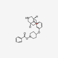 O=C(ON1CCC(Oc2cccc(N3[C@@H]4CNC[C@H]3COC4)c2)CC1)c1ccccc1